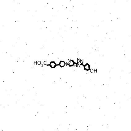 O=C(O)Cc1ccc(C2CCN(c3ccc(-c4nnc(-c5ccc(O)cc5)[nH]4)cn3)CC2)cc1